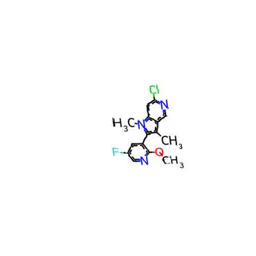 COc1ncc(F)cc1-c1c(C)c2cnc(Cl)cc2n1C